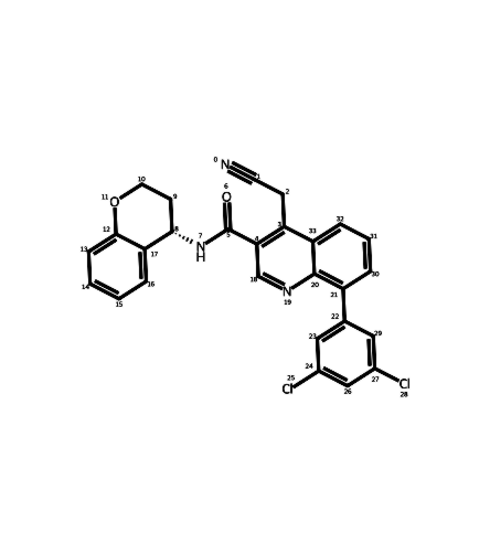 N#CCc1c(C(=O)N[C@H]2CCOc3ccccc32)cnc2c(-c3cc(Cl)cc(Cl)c3)cccc12